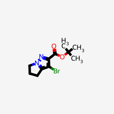 CC(C)(C)OC(=O)c1nn2c(c1Br)CCC2